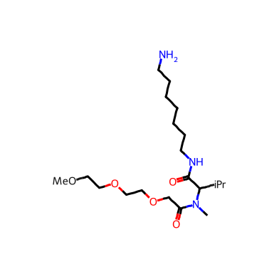 COCCOCCOCC(=O)N(C)C(C(=O)NCCCCCCCN)C(C)C